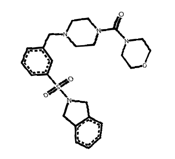 O=C(N1CCOCC1)N1CCN(Cc2cccc(S(=O)(=O)N3Cc4ccccc4C3)c2)CC1